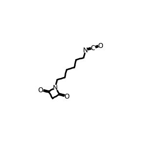 O=C=NCCCCCCN1C(=O)CC1=O